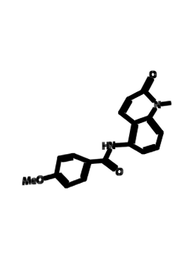 COc1ccc(C(=O)Nc2cccc3c2ccc(=O)n3C)cc1